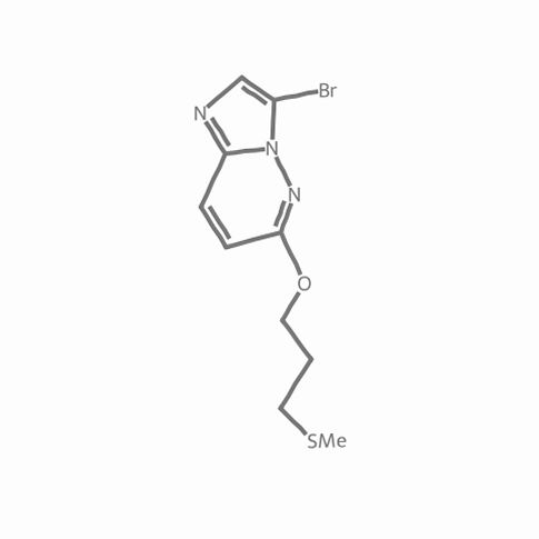 CSCCCOc1ccc2ncc(Br)n2n1